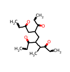 C=CC(=O)CC(CC(C(=O)C=C)C(C)C(=O)C=C)C(=O)C=C